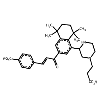 CC1(C)CCC(C)(C)c2c(C3CN(CCC(=O)O)CCN3)cc(C(=O)C=Cc3ccc(C(=O)O)cc3)cc21